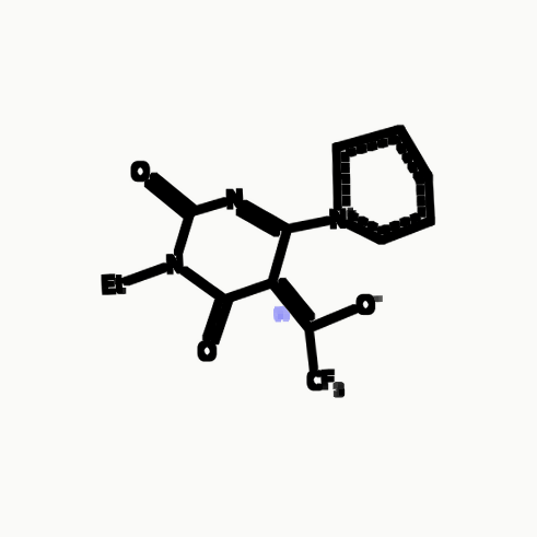 CCN1C(=O)N=C([n+]2ccccc2)/C(=C(\[O-])C(F)(F)F)C1=O